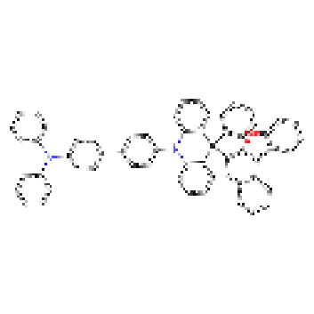 c1ccc(N(c2ccccc2)c2ccc(-c3ccc(N4c5ccccc5C(c5ccccc5)(c5cc6ccccc6c6c5oc5ccccc56)c5ccccc54)cc3)cc2)cc1